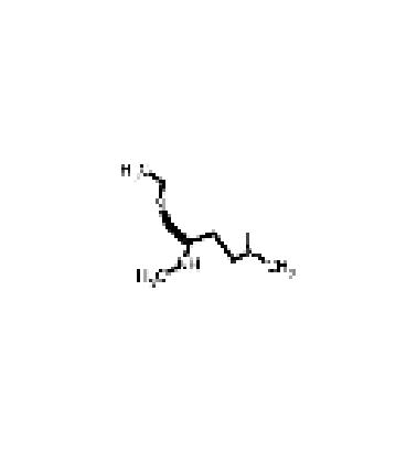 CCN=C=C(CCNC)NC